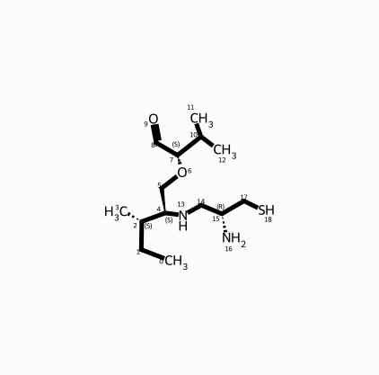 CC[C@H](C)[C@@H](CO[C@H]([C]=O)C(C)C)NC[C@@H](N)CS